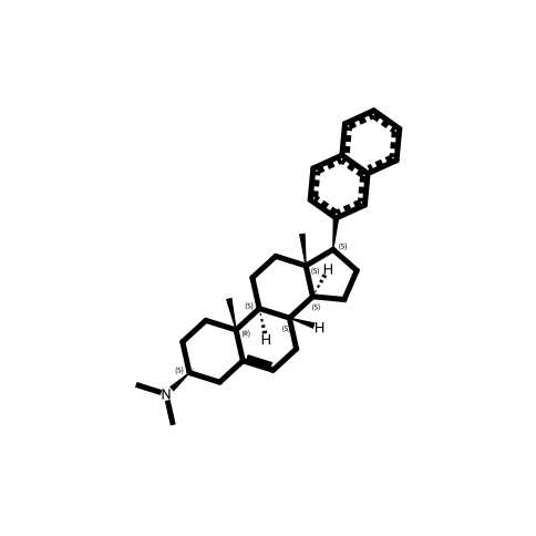 CN(C)[C@H]1CC[C@@]2(C)C(=CC[C@H]3[C@@H]4CC[C@H](c5ccc6ccccc6c5)[C@@]4(C)CC[C@@H]32)C1